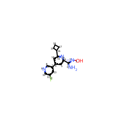 N/C(=N\O)c1cc(-c2cncc(F)c2)cc(C2CCC2)n1